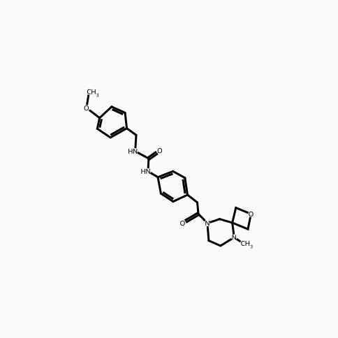 COc1ccc(CNC(=O)Nc2ccc(CC(=O)N3CCN(C)C4(COC4)C3)cc2)cc1